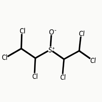 [O-][S+](C(Cl)C(Cl)Cl)C(Cl)C(Cl)Cl